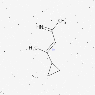 C/C(=C\C(=N)C(F)(F)F)C1CC1